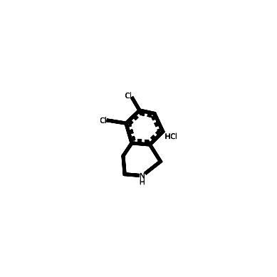 Cl.Clc1ccc2c(c1Cl)CCNC2